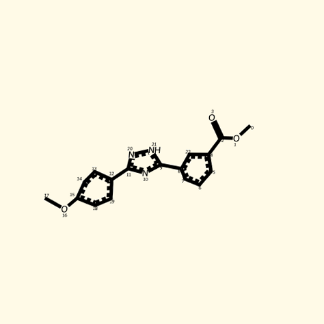 COC(=O)c1cccc(-c2nc(-c3ccc(OC)cc3)n[nH]2)c1